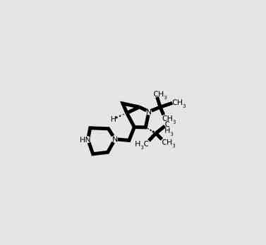 CC(C)(C)[C@@H]1C(CN2CCNCC2)[C@H]2CC2N1C(C)(C)C